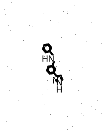 c1ccc(CNCc2cccc(-c3cc[nH]n3)c2)cc1